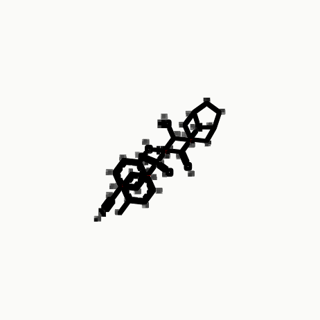 Cc1ccc(S(=O)(=O)NC(=O)N2CC3CCC(C2)N3CC(O)COc2ccc(C#N)cc2)cc1